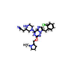 CN1CCCC1COc1nc(N2CCNC(CC#N)C2)c2ncc(Cc3ccccc3Cl)n2n1